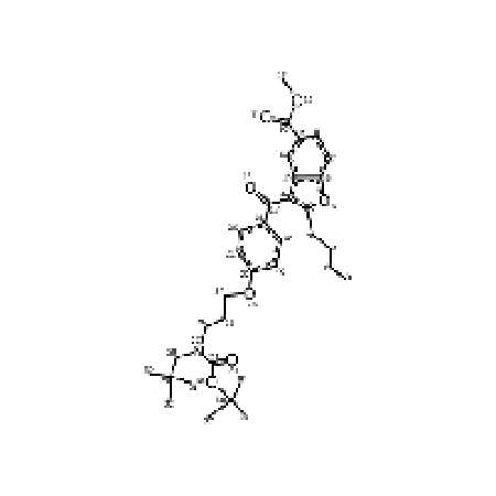 CCCCc1oc2ccc(C(=O)OC)cc2c1C(=O)c1ccc(OCCCN(CC(C)(C)C)C(=O)OC(C)(C)C)cc1